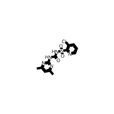 Cc1cc(C)nc(NC(=O)NS(=O)(=O)c2ncccc2Cl)n1